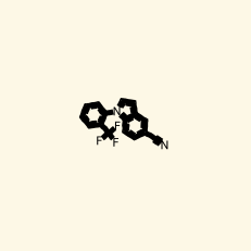 N#Cc1ccc2c(ccn2-c2ccccc2C(F)(F)F)c1